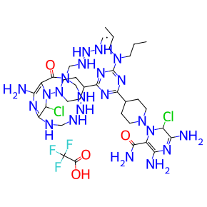 O=C(O)C(F)(F)F.[CH2]NNNCN1CNNNCNC2=NC(N)=C(C1=O)N(N1CCC(c3nc(C4CCN(N5C(C(N)=O)=C(N)N=C(N)C5Cl)CC4)nc(N(CCC)CCC)n3)CC1)C2Cl